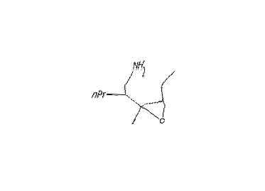 CCCC(N)C1(C)OC1C